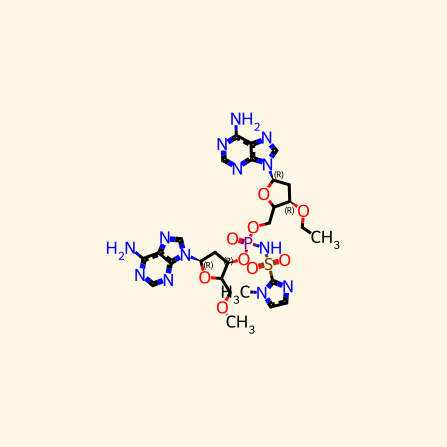 CCO[C@@H]1C[C@H](n2cnc3c(N)ncnc32)OC1COP(=O)(NS(=O)(=O)c1nccn1C)O[C@@H]1C[C@H](n2cnc3c(N)ncnc32)OC1COC